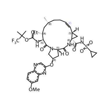 CC[C@@H]1C[C@H](C)CC/C=C\[C@@H]2C[C@@]2(C(=O)NS(=O)(=O)C2CC2)NC(=O)[C@@H]2C[C@@H](Oc3cnc4ccc(OC)cc4n3)CN2C(=O)[C@H]1NC(=O)OC(C)(C)C(F)(F)F